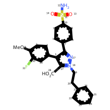 COc1ccc(-c2c(-c3ccc(S(N)(=O)=O)cc3)nn(CCc3ccccc3)c2C(=O)O)cc1F